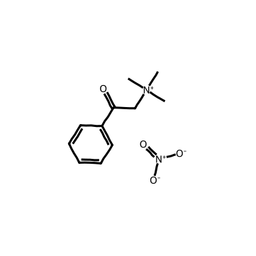 C[N+](C)(C)CC(=O)c1ccccc1.O=[N+]([O-])[O-]